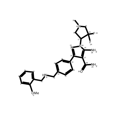 COc1ccccc1CNCc1ccc(-c2nn(C3CN(C)CC3(F)F)c(N)c2C(N)=O)cc1